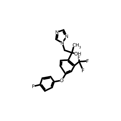 CC(O)(Cn1cncn1)c1ccc(Oc2ccc(F)cc2)cc1C(F)(F)F